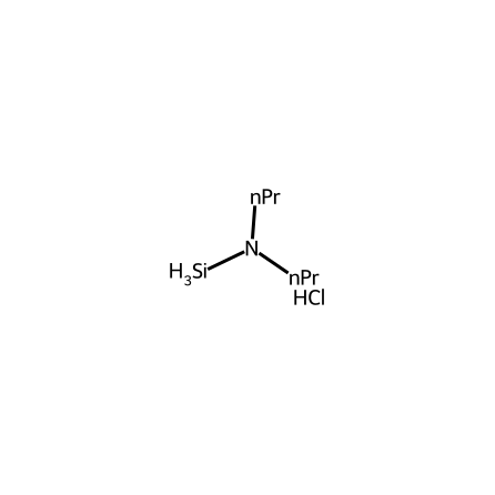 CCCN([SiH3])CCC.Cl